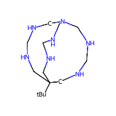 CC(C)(C)C12CNCNCN(CNCNC1)CNCNC2